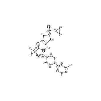 Cc1cccc(-c2ccc(C3=NC4(CC4)C(=O)N3CC3CCN(C(=O)C4CC4)C3)cc2)c1